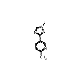 Cc1ccc(-c2ncn(I)n2)cn1